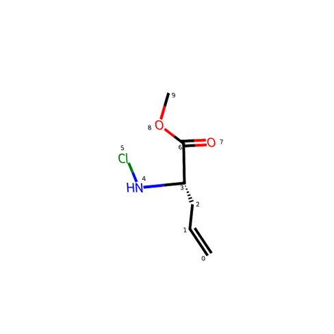 C=CC[C@H](NCl)C(=O)OC